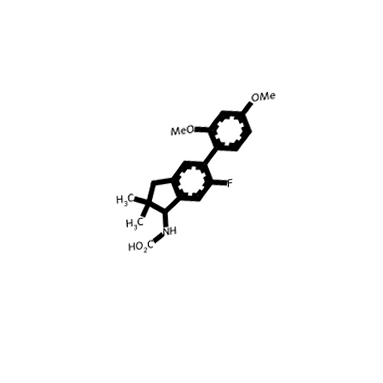 COc1ccc(-c2cc3c(cc2F)C(NC(=O)O)C(C)(C)C3)c(OC)c1